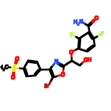 CS(=O)(=O)c1ccc(-c2nc(C(CO)Oc3ccc(F)c(C(N)=O)c3F)oc2Br)cc1